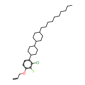 C=CCOc1ccc(C2CCC(C3CCC(CCCCCCCCCC)CC3)CC2)c(Cl)c1F